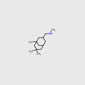 CNCC1CC2CC(C)(C)CC(C)(C1)C2